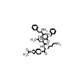 CC(=O)N1CC2(C=CN(C(=O)[C@@H](CCCCN)NC(=O)[C@@H](CC(C)C)NC(=O)[C@@H](Cc3ccccc3)NC(=O)[C@H](N)Cc3ccccc3)CC2)C1